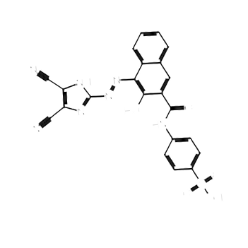 N#Cc1nc(/N=N/c2c(O)c(C(=O)Nc3ccc(S(=O)(=O)O)cc3)cc3ccccc23)[nH]c1C#N